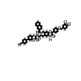 N#Cc1ccc(-c2ccc(C[C@H](NC(=O)C3Cc4cc5c(cc4CN3C(=O)c3ccc4ccccc4c3)OC(c3ccc(OCc4ccc(Cl)c(Cl)c4)cc3)C(=O)N5)C(=O)O)cc2)cc1